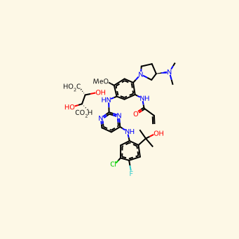 C=CC(=O)Nc1cc(Nc2nccc(Nc3cc(Cl)c(F)cc3C(C)(C)O)n2)c(OC)cc1N1CC[C@@H](N(C)C)C1.O=C(O)[C@H](O)[C@@H](O)C(=O)O